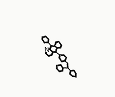 C(=C(c1ccccc1)c1ccccc1)c1ccc(-c2c3ccccc3c(-c3ccccc3)c3ncccc23)cc1